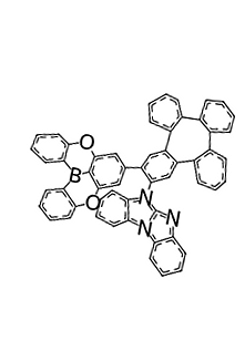 c1ccc2c(c1)Oc1cc(-c3cc4c(cc3-n3c5ccccc5n5c6ccccc6nc35)-c3ccccc3-c3ccccc3-c3ccccc3-4)cc3c1B2c1ccccc1O3